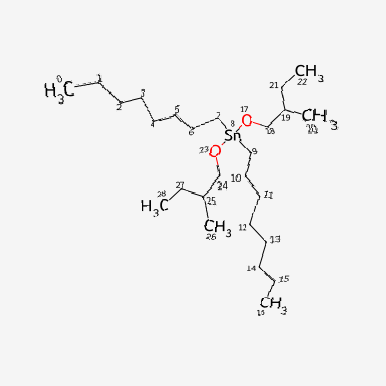 CCCCCCC[CH2][Sn]([CH2]CCCCCCC)([O]CC(C)CC)[O]CC(C)CC